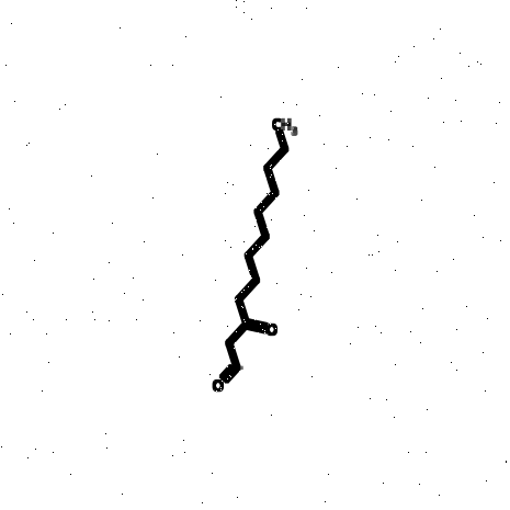 CCCCCCCCCC(=O)C[C]=O